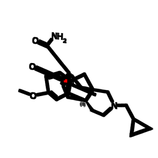 COc1ccc2c(c1)[C@]13CCN(CC4CC4)CC1(C2)Cc1cc(C(N)=O)c(=O)[nH]c1C3